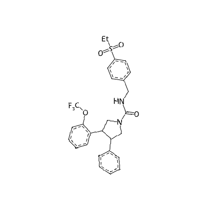 CCS(=O)(=O)c1ccc(CNC(=O)N2CC(c3ccccc3)C(c3ccccc3OC(F)(F)F)C2)cc1